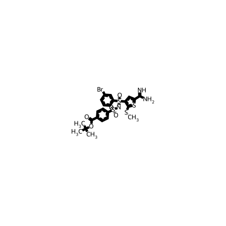 CSc1sc(C(=N)N)cc1S(=O)(=NS(=O)(=O)c1ccc(C(=O)OC(C)(C)C)cc1)c1cccc(Br)c1